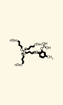 CCCCCCCCCCCCCO[PH](CCCCCCCCCCCCC)(OCCCCCCCCCCCCC)OCCCCCCCCCCCCC.Cc1ccc(C(C)(C)C)c(OP(O)O)c1